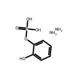 N.N.O=P(O)(O)Oc1ccccc1O